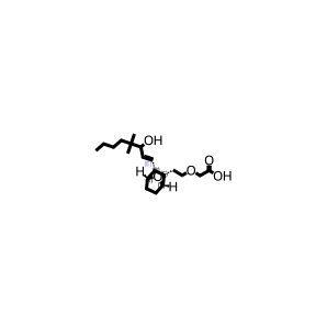 CCCCC(C)(C)C(O)/C=C/[C@@H]1[C@H](CCOCC(=O)O)[C@@H]2CC[C@H]1O2